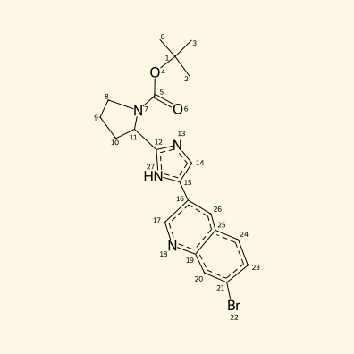 CC(C)(C)OC(=O)N1CCCC1c1ncc(-c2cnc3cc(Br)ccc3c2)[nH]1